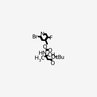 CC(C)(CC(=O)OC(C)(C)C)NC(=O)OCc1cc(Br)ncc1F